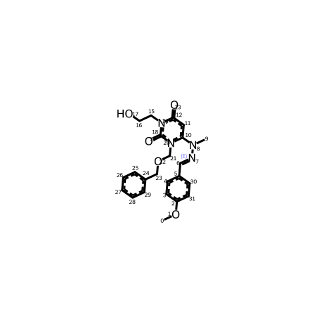 COc1ccc(/C=N/N(C)c2cc(=O)n(CCO)c(=O)n2COCc2ccccc2)cc1